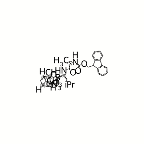 CC(C)C[C@H](NC(=O)[C@H](C)NC(=O)OCC1c2ccccc2-c2ccccc21)B1O[C@@H]2C[C@@H]3C[C@@H](C3(C)C)[C@]2(C)O1